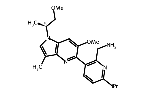 COC[C@H](C)n1cc(C)c2nc(-c3ccc(C(C)C)nc3CN)c(OC)cc21